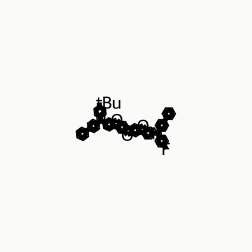 CC(C)(C)C1CC=C(N(c2ccc(-c3ccccc3)cc2)c2ccc3c(c2)oc2cc4c(cc23)oc2cc3c(cc24)oc2cc(N(c4ccc(F)cc4)c4ccc(-c5ccccc5)cc4)ccc23)CC1